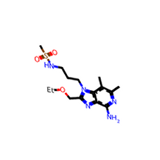 CCOCc1nc2c(N)nc(C)c(C)c2n1CCCNS(C)(=O)=O